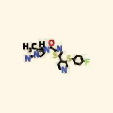 CC1[C@H]2C(CN1C#N)N2C(=O)c1ncc(-c2ccncc2Sc2ccc(F)cc2)s1